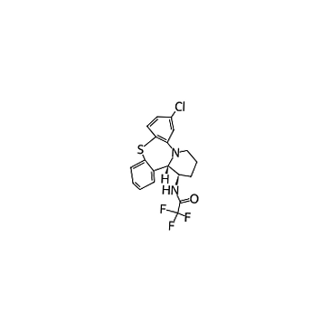 O=C(N[C@@H]1CCCN2c3cc(Cl)ccc3Sc3ccccc3[C@@H]12)C(F)(F)F